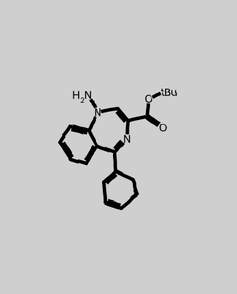 CC(C)(C)OC(=O)C1=CN(N)c2ccccc2C(C2=CC=CCC2)=N1